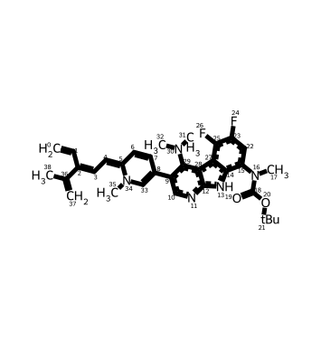 C=C/C(=C\C=C1\C=CC(c2cnc3[nH]c4c(N(C)C(=O)OC(C)(C)C)cc(F)c(F)c4c3c2N(C)C)=CN1C)C(=C)C